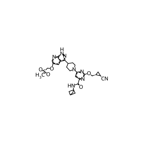 CS(=O)(=O)COc1cnc2[nH]nc(C3CCN(c4cc(C(=O)NC56CC(C5)C6)nc(OC[C@H]5C[C@H]5C#N)n4)CC3)c2c1